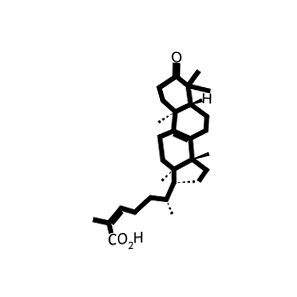 C/C(=C/CC[C@@H](C)[C@H]1CC[C@@]2(C)C3=C(CC[C@]12C)[C@@]1(C)CCC(=O)C(C)(C)[C@@H]1CC3)C(=O)O